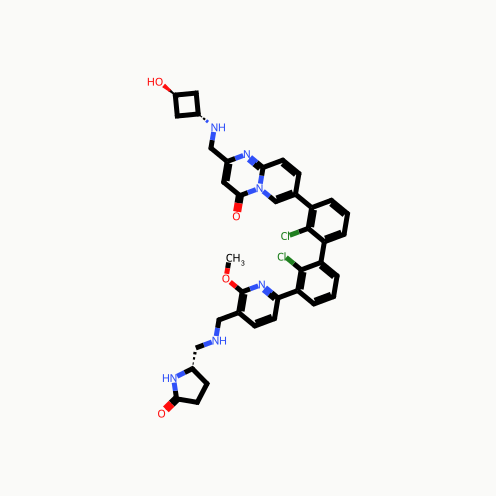 COc1nc(-c2cccc(-c3cccc(-c4ccc5nc(CN[C@H]6C[C@H](O)C6)cc(=O)n5c4)c3Cl)c2Cl)ccc1CNC[C@@H]1CCC(=O)N1